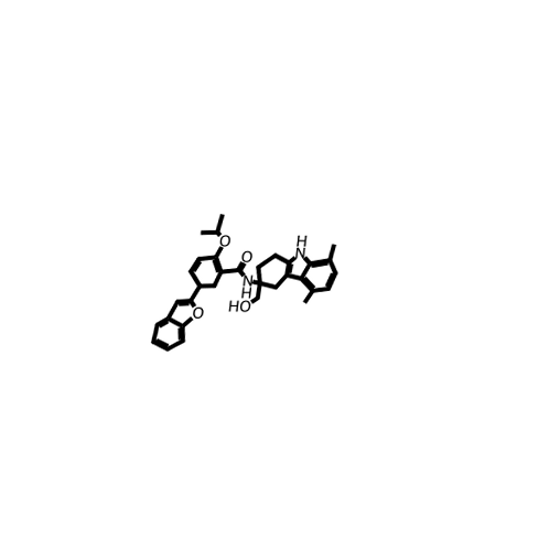 Cc1ccc(C)c2c3c([nH]c12)CCC(CO)(NC(=O)C1=C(OC(C)C)C=CC(c2cc4ccccc4o2)C1)C3